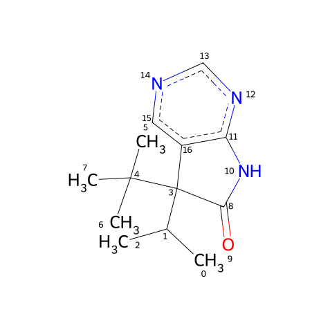 CC(C)C1(C(C)(C)C)C(=O)Nc2ncncc21